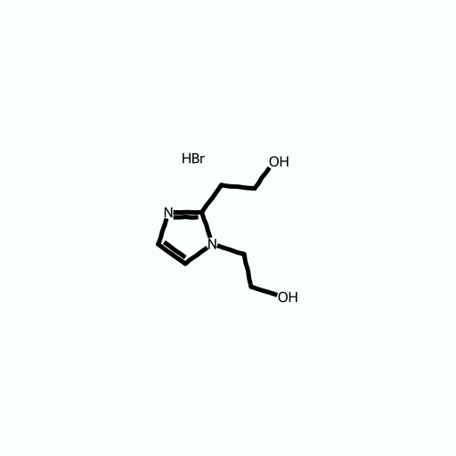 Br.OCCc1nccn1CCO